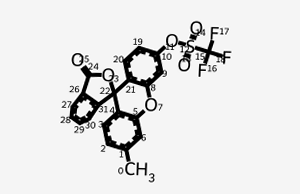 Cc1ccc2c(c1)Oc1cc(OS(=O)(=O)C(F)(F)F)ccc1C21OC(=O)c2ccccc21